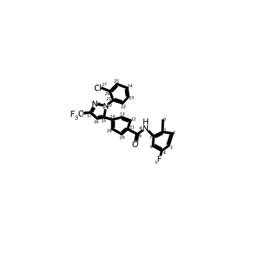 Cc1ccc(F)cc1NC(=O)c1ccc(-c2cc(C(F)(F)F)nn2-c2ccccc2Cl)cc1